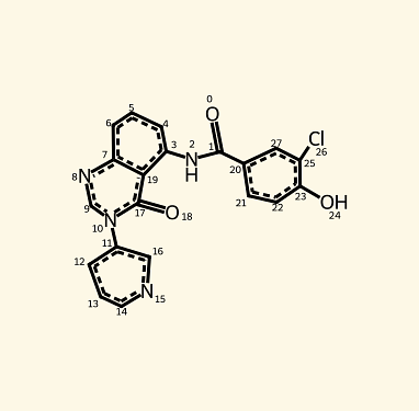 O=C(Nc1cccc2ncn(-c3cccnc3)c(=O)c12)c1ccc(O)c(Cl)c1